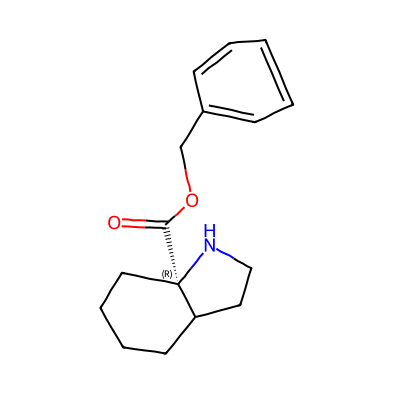 O=C(OCc1ccccc1)[C@@]12CCCCC1CCN2